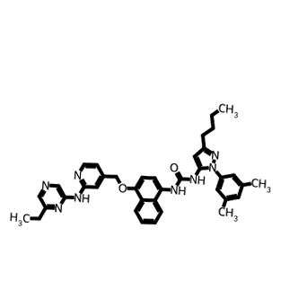 CCCCc1cc(NC(=O)Nc2ccc(OCc3ccnc(Nc4cncc(CC)n4)c3)c3ccccc23)n(-c2cc(C)cc(C)c2)n1